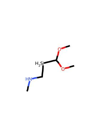 CNC[SiH2]C(OC)OC